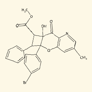 COC(=O)C1C(c2ccccc2)C2(c3ccc(Br)cc3)Oc3cc(C)cnc3C(=O)C12O